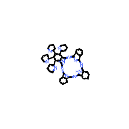 c1ccc(-c2c(-c3ccccn3)c(-c3ccccn3)c3c4nc5nc(nc6[nH]c(nc7nc(nc([nH]4)c3c2-c2ccccn2)-c2ccccc2-7)c2ccccc62)-c2ccccc2-5)nc1